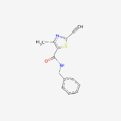 C#Cc1nc(C)c(C(=O)NCc2ccccc2)s1